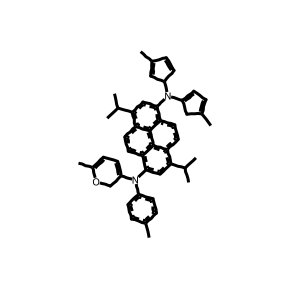 CC1=CC(N(C2=CC=C(C)C2)c2cc(C(C)C)c3ccc4c(N(C5=CC=C(C)OC5)c5ccc(C)cc5)cc(C(C)C)c5ccc2c3c54)C=C1